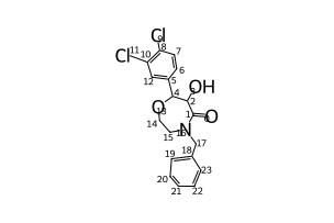 O=C1C(O)C(c2ccc(Cl)c(Cl)c2)OCCN1Cc1ccccc1